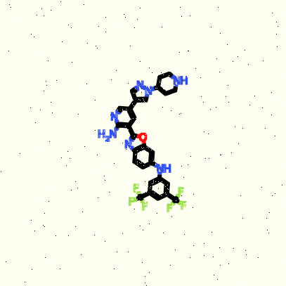 Nc1ncc(-c2cnn(C3CCNCC3)c2)cc1-c1nc2ccc(Nc3cc(C(F)(F)F)cc(C(F)(F)F)c3)cc2o1